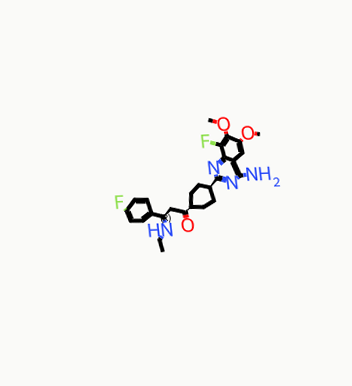 CCN[C@H](CC(=O)[C@H]1CC[C@H](c2nc(N)c3cc(OC)c(OC)c(F)c3n2)CC1)c1ccc(F)cc1